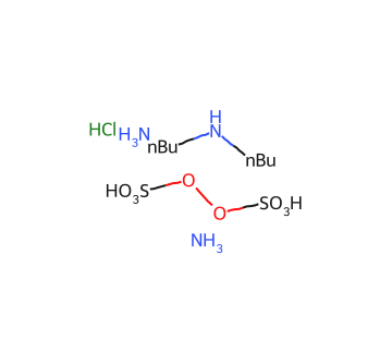 CCCCNCCCC.Cl.N.N.O=S(=O)(O)OOS(=O)(=O)O